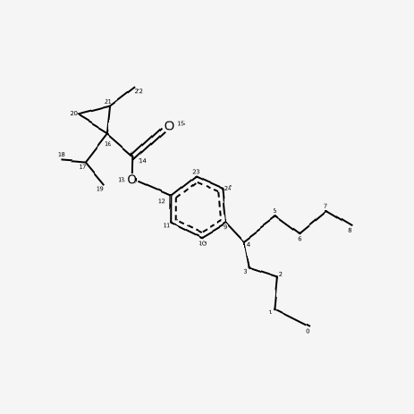 CCCCC(CCCC)c1ccc(OC(=O)C2(C(C)C)CC2C)cc1